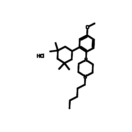 CCCCCN1CCN(c2ccc(OC)cc2C2CC(C)(C)CC(C)(C)C2)CC1.Cl